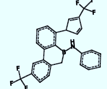 FC(F)(F)C1=CC(c2cccc3c2B(Nc2ccccc2)Cc2ccc(C(F)(F)F)cc2-3)C=C1